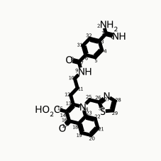 N=C(N)c1ccc(C(=O)NCCCc2c(C(=O)O)c(=O)c3ccccc3n2Cc2nccs2)cc1